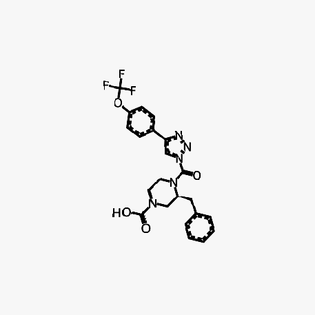 O=C(O)N1CCN(C(=O)n2cc(-c3ccc(OC(F)(F)F)cc3)nn2)[C@@H](Cc2ccccc2)C1